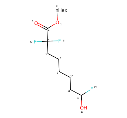 CCCCCCOC(=O)C(F)(F)CCCCCC(O)F